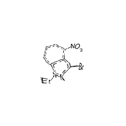 CCn1nc(Br)c2c([N+](=O)[O-])cccc21